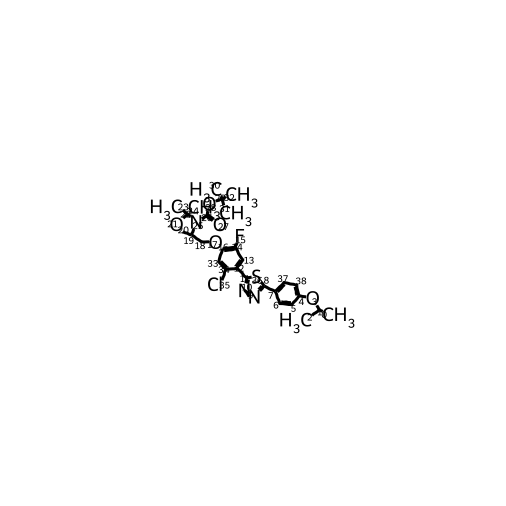 CC(C)Oc1ccc(-c2nnc(-c3cc(F)c(OCC4COC(C)(C)N4C(=O)OC(C)(C)C)cc3Cl)s2)cc1